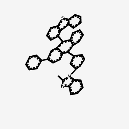 Cc1nc2ccccc2n1-c1cccc(-c2c3ccccc3c(-c3cccc4sc5ccccc5c34)c3cc(-c4ccccc4)ccc23)c1